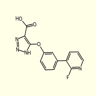 O=C(O)c1nn[nH]c1Oc1cccc(-c2cccnc2F)c1